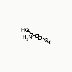 CC(C)COCC[C@H]1CCc2cc([C@H](CN)CCCCO)ccc2C1